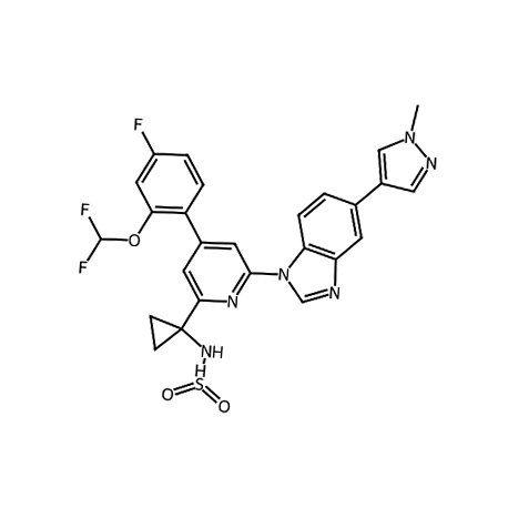 Cn1cc(-c2ccc3c(c2)ncn3-c2cc(-c3ccc(F)cc3OC(F)F)cc(C3(N[SH](=O)=O)CC3)n2)cn1